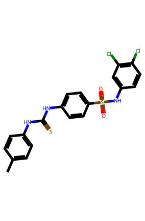 Cc1ccc(NC(=S)Nc2ccc(S(=O)(=O)Nc3ccc(Cl)c(Cl)c3)cc2)cc1